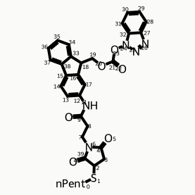 CCCCCSC1CC(=O)N(CCC(=O)Nc2ccc3c(c2)C(COC(=O)On2nnc4ccccc42)c2ccccc2-3)C1=O